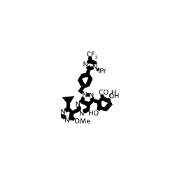 COc1ncnc(C2CC2)c1-c1ncc2c(-c3c(O)ccc(O)c3C(=O)O)nn(Cc3ccc(-c4nc(C(F)(F)F)cn4C(C)C)cc3)c2n1